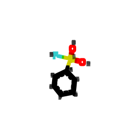 O=S(=O)(F)c1c[c]ccc1